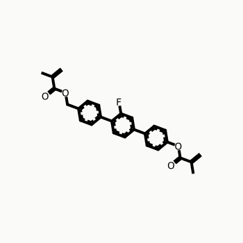 C=C(C)C(=O)OCc1ccc(-c2ccc(-c3ccc(OC(=O)C(=C)C)cc3)cc2F)cc1